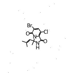 CC(C)=CC1(C)NC(=O)c2c(Cl)cc(Br)c(=O)n21